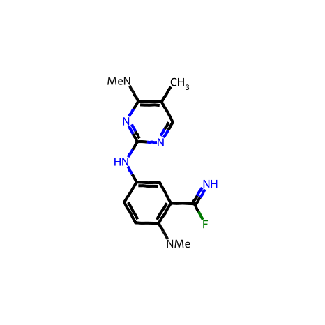 CNc1ccc(Nc2ncc(C)c(NC)n2)cc1C(=N)F